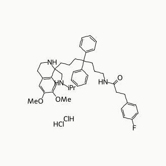 COc1cc2c(cc1OC)C(CCCC(CCCNC(=O)CCc1ccc(F)cc1)(c1ccccc1)c1ccccc1)(CNC(C)C)NCC2.Cl.Cl